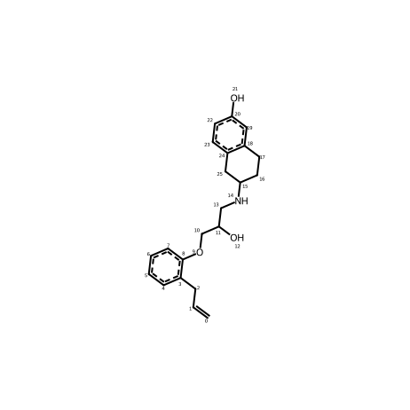 C=CCc1ccccc1OCC(O)CNC1CCc2cc(O)ccc2C1